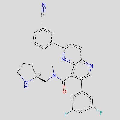 CN(C[C@@H]1CCCN1)C(=O)c1c(-c2cc(F)cc(F)c2)cnc2ccc(-c3cccc(C#N)c3)nc12